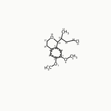 COc1cc2c(cc1OC)C(C(C)CCCl)OCC2